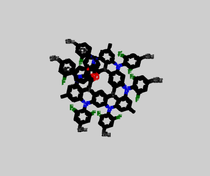 [C-]#[N+]c1ccc2oc3c(c2c1)N(c1ccc(C(C)(C)C)cc1F)c1cc(C)cc2c1B3c1cc3c(cc1N2c1c(F)cc(C(C)(C)C)cc1F)N(c1c(F)cc(C(C)(C)C)cc1F)c1cc(C)cc2c1B3c1cc3c(cc1N2c1c(F)cc(C(C)(C)C)cc1F)N(c1c(F)cc(C(C)(C)C)cc1F)c1cc(C)cc2c1B3c1oc3ccc(C#N)cc3c1N2c1ccc(C(C)(C)C)cc1F